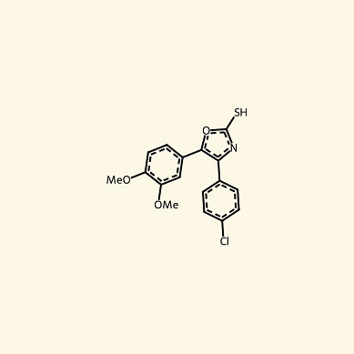 COc1ccc(-c2oc(S)nc2-c2ccc(Cl)cc2)cc1OC